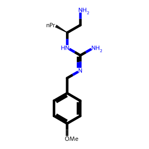 CCC[C@@H](CN)NC(N)=NCc1ccc(OC)cc1